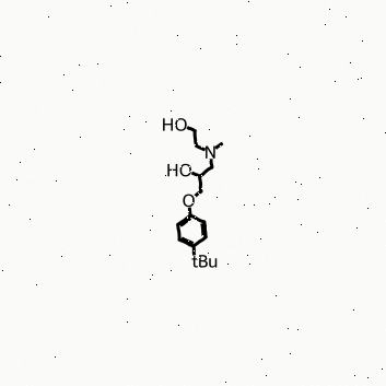 CN(CCO)CC(O)COc1ccc(C(C)(C)C)cc1